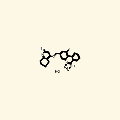 CCc1cc(OCc2ccc(-c3ccccc3-c3nnn[nH]3)c(F)c2)c2c(n1)CCCC2.Cl